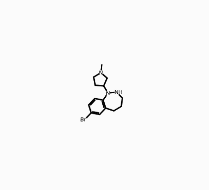 CN1CCC(N2NCCCc3cc(Br)ccc32)C1